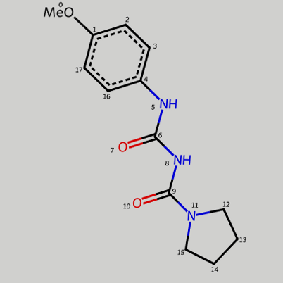 COc1ccc(NC(=O)NC(=O)N2CCCC2)cc1